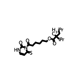 CC(C)CC(C)(C(=O)OCCCCCC(=O)n1c(=S)cc[nH]c1=O)C(C)C